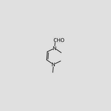 CN(C)/C=C\N(C)C=O